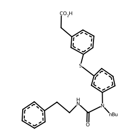 CCCCN(C(=O)NCCc1ccccc1)c1cccc(Sc2cccc(CC(=O)O)c2)c1